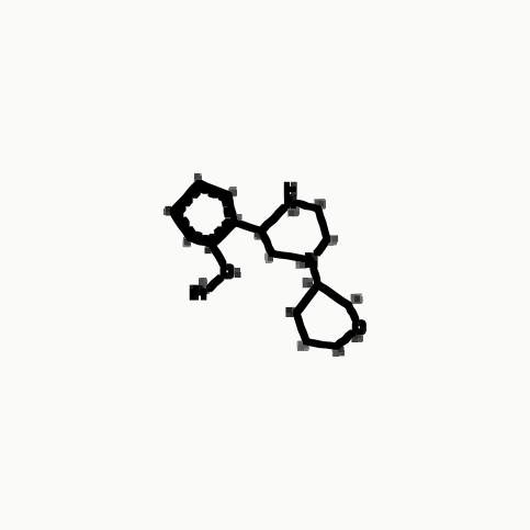 CC(C)Oc1ccccc1C1CN(C2CCCOC2)CCN1